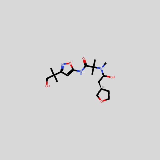 CN(C(O)C[C@H]1CCOC1)C(C)(C)C(=O)Nc1cc(C(C)(C)CO)no1